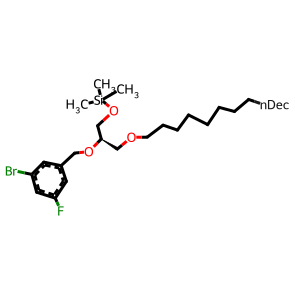 CCCCCCCCCCCCCCCCCCOC[C@H](CO[Si](C)(C)C)OCc1cc(F)cc(Br)c1